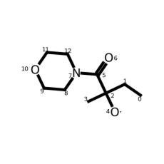 CCC(C)([O])C(=O)N1CCOCC1